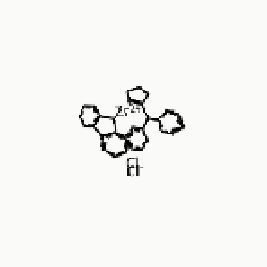 C1=C[C]([Zr+2][CH]2c3ccccc3-c3ccccc32)=C(C(c2ccccc2)c2ccccc2)C1.[Cl-].[Cl-]